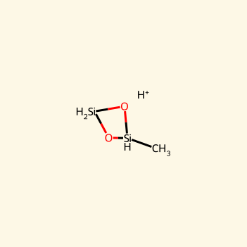 C[SiH]1O[SiH2]O1.[H+]